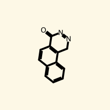 O=C1N=NCc2c1ccc1ccccc21